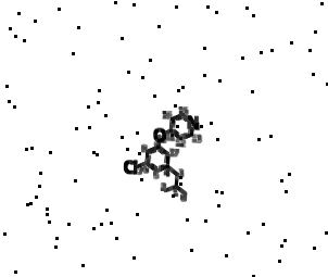 CC(C)Cc1cc(Cl)cc(Oc2ccncc2)c1